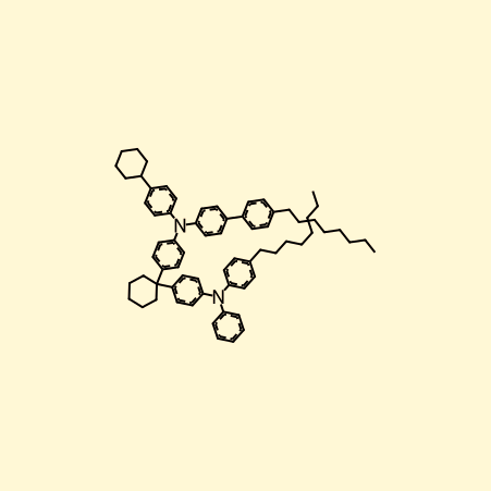 CCCCCCCCc1ccc(-c2ccc(N(c3ccc(C4CCCCC4)cc3)c3ccc(C4(c5ccc(N(c6ccccc6)c6ccc(CCCCCCCC)cc6)cc5)CCCCC4)cc3)cc2)cc1